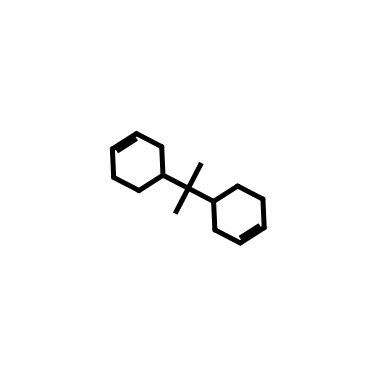 CC(C)(C1CC=CCC1)C1CC=CCC1